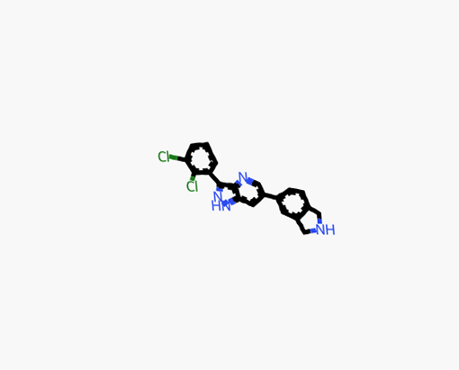 Clc1cccc(-c2n[nH]c3cc(-c4ccc5c(c4)CNC5)cnc23)c1Cl